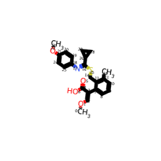 COC=C(C(=O)O)c1cccc(C)c1CSC(=Nc1ccc(OC)cc1)C1CC1